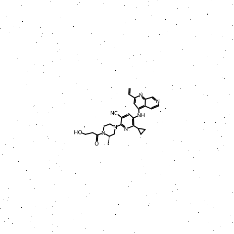 C=Cc1cc(Nc2cc(C#N)c(N3CCN(C(=O)CCO)[C@H](C)C3)nc2C2CC2)c2ccncc2n1